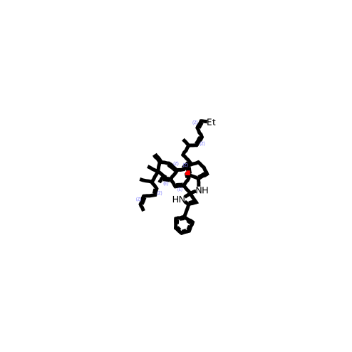 C=C\C(=C/C(=C\C)C(/C=C\CC(C)/C=C\C=C/CC)=C\C(=C)C(C)(C)C(C)/C=C\C=C/C)C1(NC2=CCCC=C2)C=C(c2ccccc2)N1